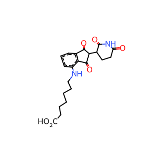 O=C(O)CCCCCCNc1cccc2c1C(=O)C(C1CCC(=O)NC1=O)C2=O